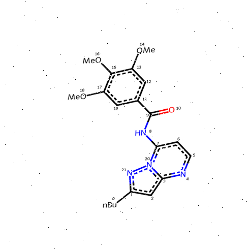 CCCCc1cc2nccc(NC(=O)c3cc(OC)c(OC)c(OC)c3)n2n1